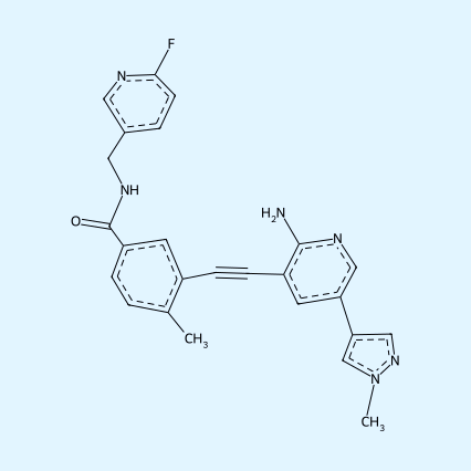 Cc1ccc(C(=O)NCc2ccc(F)nc2)cc1C#Cc1cc(-c2cnn(C)c2)cnc1N